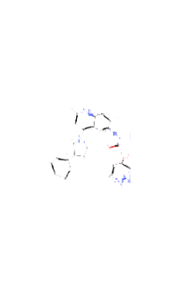 Cc1cc(N2CCC(c3ccccc3)C2)c2cc(NC(=O)Oc3ccnnc3)ccc2n1